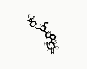 C=Cc1cc(-c2ccc3c(ccc4sc5c(c43)NC[C@@H](C)NC5=O)n2)cc(CN2CCC3(CC2)CC3(F)F)n1